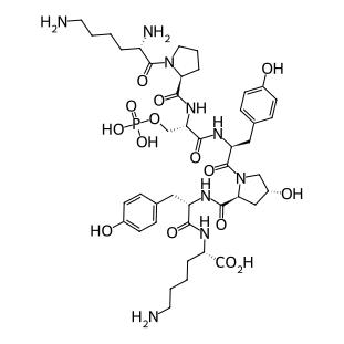 NCCCC[C@H](NC(=O)[C@H](Cc1ccc(O)cc1)NC(=O)[C@@H]1C[C@@H](O)CN1C(=O)[C@H](Cc1ccc(O)cc1)NC(=O)[C@H](COP(=O)(O)O)NC(=O)[C@@H]1CCCN1C(=O)[C@@H](N)CCCCN)C(=O)O